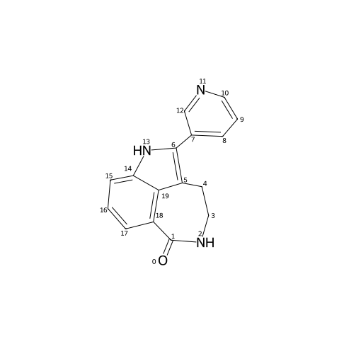 O=C1NCCc2c(-c3cccnc3)[nH]c3cccc1c23